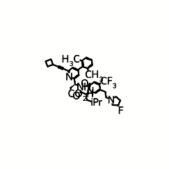 Cc1cccc(C)c1-c1cc(C#CC2CCC2)nc([C@H](CC(=O)O)NC(=O)[C@H](CC(C)C)n2cc(CCN3CC[C@@H](F)C3)c(C(F)(F)F)cc2=O)c1